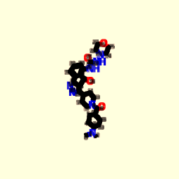 CN(C)C1CCC(C(=O)N2CCC(C3=C4C(=O)c5c(NC(=O)NN6CCOCC6)cccc5C4N=N3)CC2)CC1